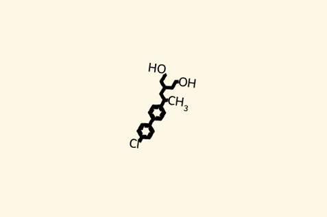 CC(CC(CCO)CCO)c1ccc(-c2ccc(Cl)cc2)cc1